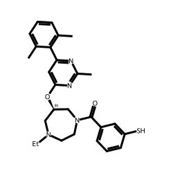 CCN1CCN(C(=O)c2cccc(S)c2)C[C@H](Oc2cc(-c3c(C)cccc3C)nc(C)n2)C1